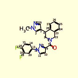 Cn1cc(C2CN(C(=O)c3ccn(-c4ccc(F)c(F)c4)n3)Cc3ccccc32)cn1